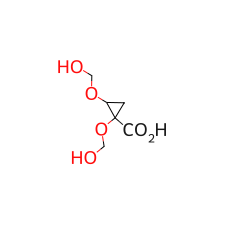 O=C(O)C1(OCO)CC1OCO